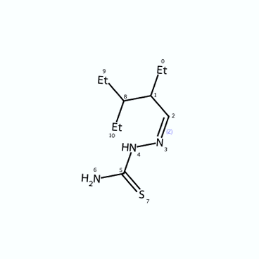 CCC(/C=N\NC(N)=S)C(CC)CC